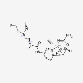 C#C[C@]1(c2cc(NC(=O)/C(C)=N/C=C(\N=C)OCF)ccc2F)N=C(N)O[C@@H]2C[C@@H]21